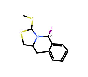 CSC1SCC2Cc3ccccc3[C@H](I)N21